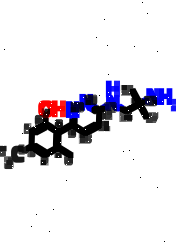 Cc1cc(C(F)(F)F)cc(O)c1-c1ccc(NCC(C)(C)N)nn1